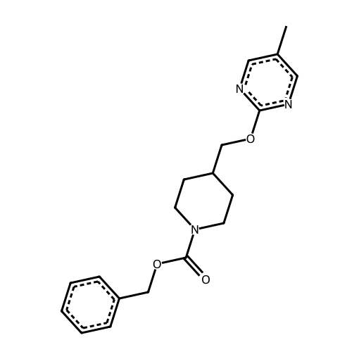 Cc1cnc(OCC2CCN(C(=O)OCc3ccccc3)CC2)nc1